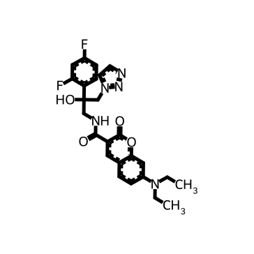 CCN(CC)c1ccc2cc(C(=O)NCC(O)(Cn3ccnn3)c3ccc(F)cc3F)c(=O)oc2c1